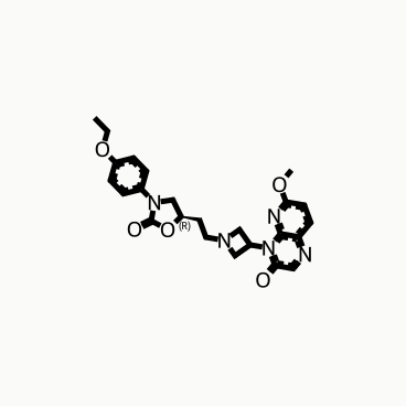 CCOc1ccc(N2C[C@@H](CCN3CC(n4c(=O)cnc5ccc(OC)nc54)C3)OC2=O)cc1